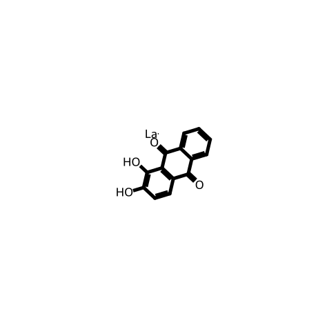 O=C1c2ccccc2C(=O)c2c1ccc(O)c2O.[La]